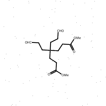 COC(=O)CCC(CCC=O)(CCC=O)CCC(=O)OC